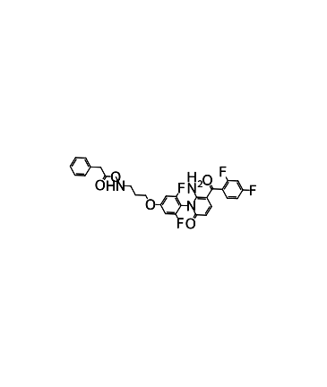 Nc1c(C(=O)c2ccc(F)cc2F)ccc(=O)n1-c1c(F)cc(OCCCNOC(=O)Cc2ccccc2)cc1F